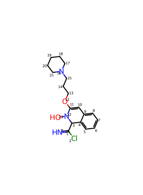 N=C(Cl)C1c2ccccc2C=C(OCCCN2CCCCC2)N1O